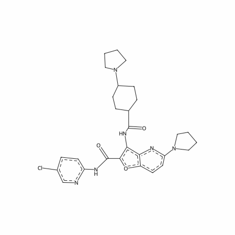 O=C(Nc1ccc(Cl)cn1)c1oc2ccc(N3CCCC3)nc2c1NC(=O)C1CCC(N2CCCC2)CC1